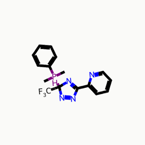 C[PH](C)(c1ccccc1)C1(C(F)(F)F)N=NC(c2ccccn2)=N1